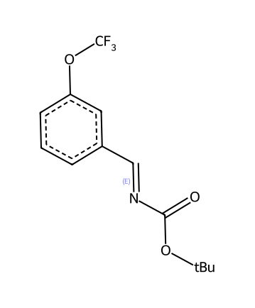 CC(C)(C)OC(=O)/N=C/c1cccc(OC(F)(F)F)c1